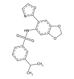 CC(C)c1cccc(S(=O)(=O)Nc2cc3c(cc2-c2ncco2)OCO3)c1